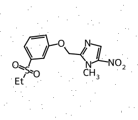 CCS(=O)(=O)c1cccc(OCc2ncc([N+](=O)[O-])n2C)c1